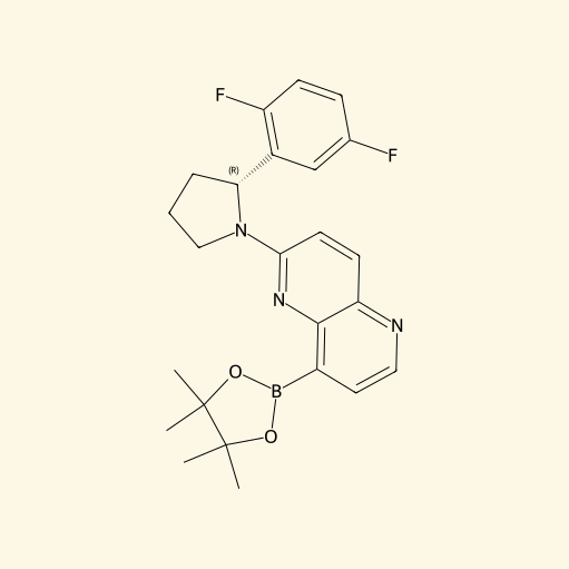 CC1(C)OB(c2ccnc3ccc(N4CCC[C@@H]4c4cc(F)ccc4F)nc23)OC1(C)C